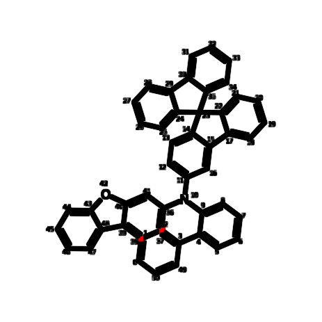 c1ccc(-c2ccccc2N(c2ccc3c(c2)-c2ccccc2C32c3ccccc3-c3ccccc32)c2ccc3c(c2)oc2ccccc23)cc1